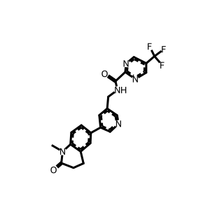 CN1C(=O)CCc2cc(-c3cncc(CNC(=O)c4ncc(C(F)(F)F)cn4)c3)ccc21